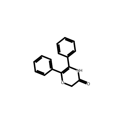 O=C1COC(c2ccccc2)=C(c2ccccc2)N1